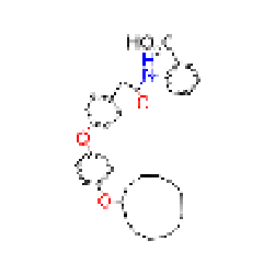 O=C(Cc1ccc(Oc2ccc(OC3CCCCCCCCCCC3)cc2)cc1)Nc1ccccc1C(=O)O